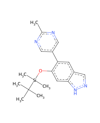 Cc1ncc(-c2cc3cn[nH]c3cc2O[Si](C)(C)C(C)(C)C)cn1